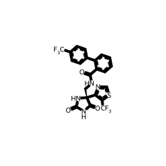 O=C1NC(=O)[C@@](CNC(=O)c2ccccc2-c2ccc(C(F)(F)F)cc2)(c2ncsc2C(F)(F)F)N1